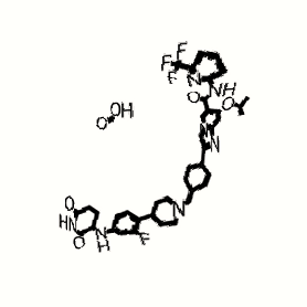 CC(C)Oc1cc2nc(C3CCC(CN4CCC(c5ccc(NC6CCC(=O)NC6=O)cc5F)CC4)CC3)cn2cc1C(=O)Nc1cccc(C(F)(F)F)n1.O=CO